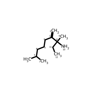 C=C(CCCC(C)C)C(C)(N)CC